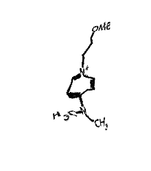 COCC[n+]1ccc(N(C)C)cc1